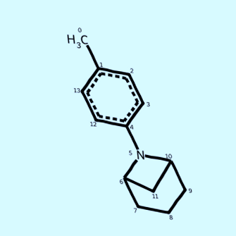 Cc1ccc(N2C3CCCC2C3)cc1